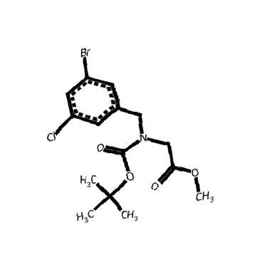 COC(=O)CN(Cc1cc(Cl)cc(Br)c1)C(=O)OC(C)(C)C